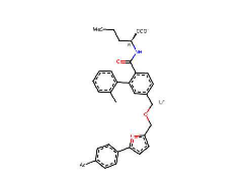 CSCC[C@H](NC(=O)c1ccc(COCc2ccc(-c3ccc(C(C)=O)cc3)o2)cc1-c1ccccc1C)C(=O)[O-].[Li+]